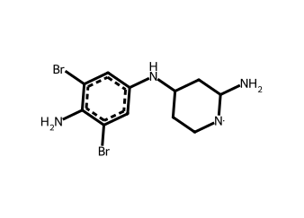 Nc1c(Br)cc(NC2CC[N]C(N)C2)cc1Br